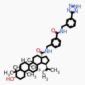 C=C(C)[C@@H]1CC[C@]2(C(=O)NCc3cccc(C(=O)NCc4cccc(-c5nn[nH]n5)c4)c3)CC[C@]3(C)C(CCC4[C@@]5(C)CC[C@H](O)C(C)(C)C5CC[C@]43C)C12